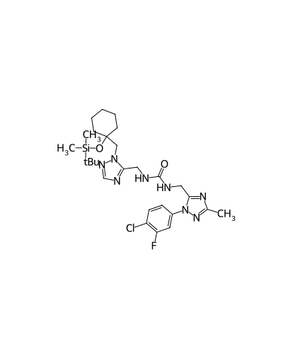 Cc1nc(CNC(=O)NCc2ncnn2CC2(O[Si](C)(C)C(C)(C)C)CCCCC2)n(-c2ccc(Cl)c(F)c2)n1